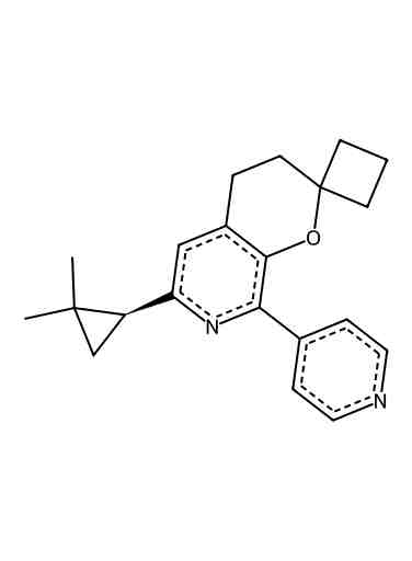 CC1(C)C[C@@H]1c1cc2c(c(-c3ccncc3)n1)OC1(CCC1)CC2